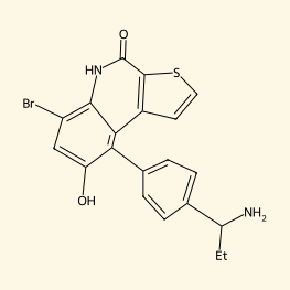 CCC(N)c1ccc(-c2c(O)cc(Br)c3[nH]c(=O)c4sccc4c23)cc1